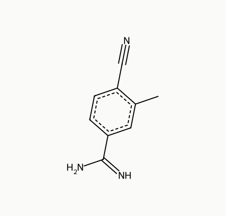 Cc1cc(C(=N)N)ccc1C#N